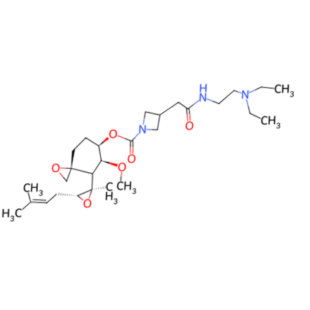 CCN(CC)CCNC(=O)CC1CN(C(=O)O[C@@H]2CC[C@]3(CO3)C([C@@]3(C)O[C@@H]3CC=C(C)C)[C@@H]2OC)C1